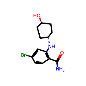 NC(=O)c1ccc(Br)cc1N[C@H]1CC[C@H](O)CC1